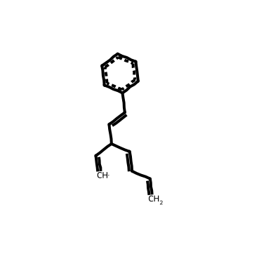 [CH]=CC(C=CC=C)C=Cc1ccccc1